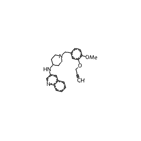 C#CCOc1cc(CN2CCC(Nc3cnc4ccccc4c3)CC2)ccc1OC